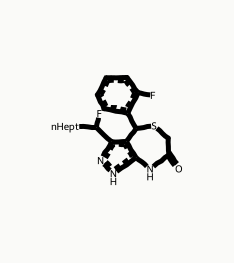 CCCCCCCC(F)c1n[nH]c2c1C(c1ccccc1F)SCC(=O)N2